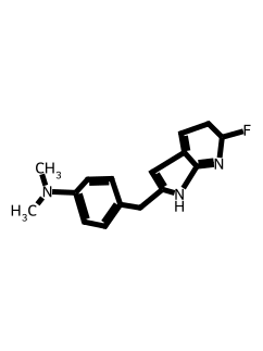 CN(C)c1ccc(Cc2cc3c([nH]2)=NC(F)CC=3)cc1